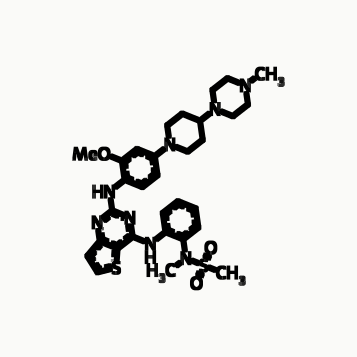 COc1cc(N2CCC(N3CCN(C)CC3)CC2)ccc1Nc1nc(Nc2ccccc2N(C)S(C)(=O)=O)c2sccc2n1